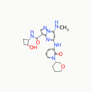 CNc1cc(Nc2cccn([C@H]3CCCOC3)c2=O)nc2c(C(=O)NC3CC[C@@H]3O)cnn12